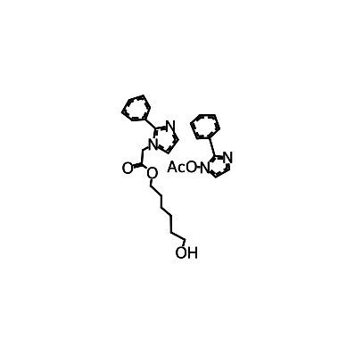 CC(=O)On1ccnc1-c1ccccc1.O=C(Cn1ccnc1-c1ccccc1)OCCCCCCO